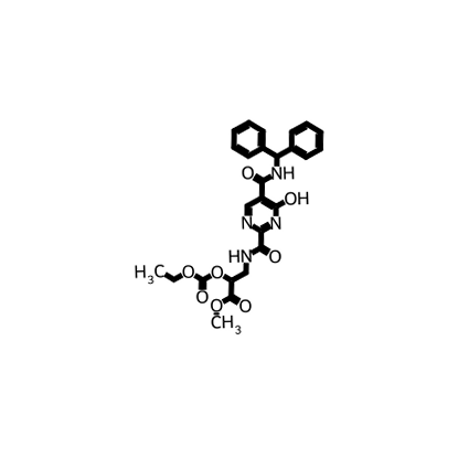 CCOC(=O)OC(CNC(=O)c1ncc(C(=O)NC(c2ccccc2)c2ccccc2)c(O)n1)C(=O)OC